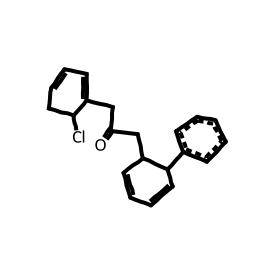 O=C(CC1=CC=CCC1Cl)CC1C=CC=CC1c1ccccc1